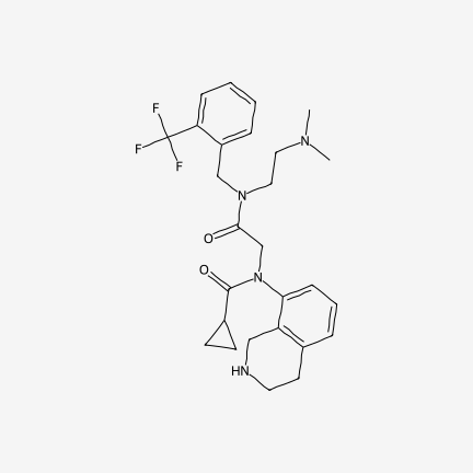 CN(C)CCN(Cc1ccccc1C(F)(F)F)C(=O)CN(C(=O)C1CC1)c1cccc2c1CNCC2